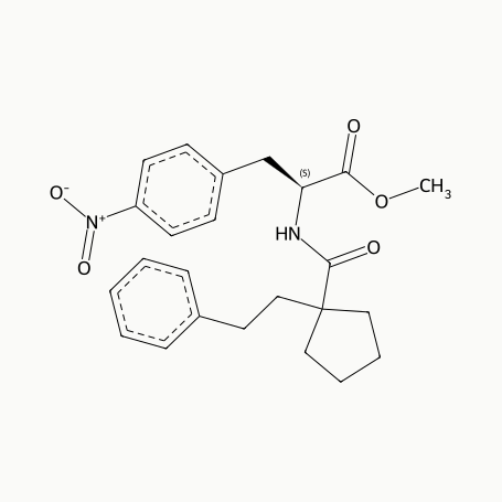 COC(=O)[C@H](Cc1ccc([N+](=O)[O-])cc1)NC(=O)C1(CCc2ccccc2)CCCC1